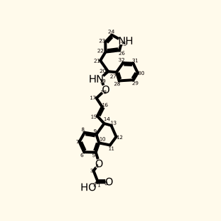 O=C(O)COc1cccc2c1CCCC2C=CCONC(Cc1cc[nH]c1)c1ccccc1